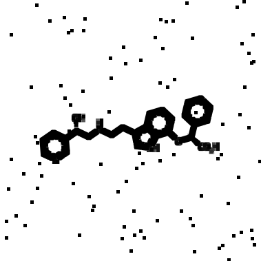 O=C(O)[C@@H](Oc1cccc2c(CCNC[C@@H](O)c3cccnc3)c[nH]c12)c1ccccc1